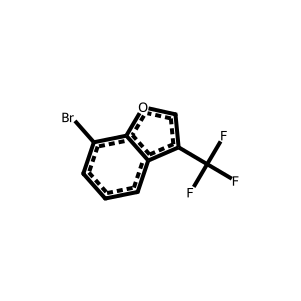 FC(F)(F)c1coc2c(Br)cccc12